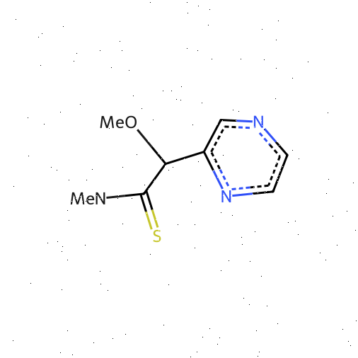 CNC(=S)C(OC)c1cnccn1